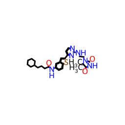 CC1(C)C(=O)NC(=O)N1CCNc1nccc(-c2cc3cc(NC(=O)CCCC4CCCCC4)ccc3s2)n1